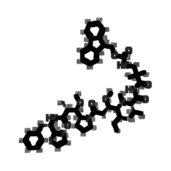 CC[C@H](C)[C@@H]([C@@H](CC(=O)N1CCC[C@H]1[C@H](OC)[C@@H](C)C(=O)N[C@@H](Cc1ccccc1)c1nccs1)OC)N(C)[C@H](C(=O)NC(=O)C(C)(C)CNC(=O)OCC1c2ccccc2-c2ccccc21)C(C)C